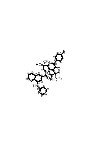 C[C@]1(C(N)=O)COc2c1cc([C@@](O)(CNC(=O)c1cc(Nc3ccncn3)c3ncccc3c1)C(F)(F)F)nc2-c1ccc(F)cc1